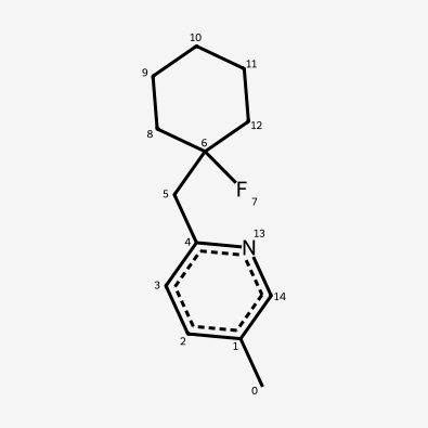 Cc1ccc(CC2(F)CCCCC2)nc1